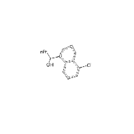 CCCC(O)c1cccc2c(Cl)cccc12